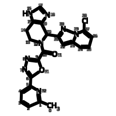 Cc1cccc(-c2nnc(C(=O)N3CCc4[nH]cnc4C3c3cc4cccc(Cl)n4n3)o2)n1